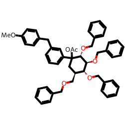 COc1ccc(Cc2cccc(C3(OC(C)=O)C[C@H](COCc4ccccc4)[C@@H](OCc4ccccc4)[C@H](OCc4ccccc4)[C@H]3OCc3ccccc3)c2)cc1